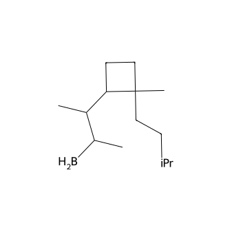 BC(C)C(C)C1CCC1(C)CCC(C)C